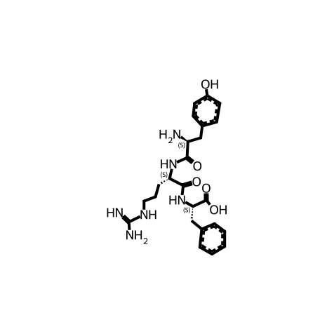 N=C(N)NCCC[C@H](NC(=O)[C@@H](N)Cc1ccc(O)cc1)C(=O)N[C@@H](Cc1ccccc1)C(=O)O